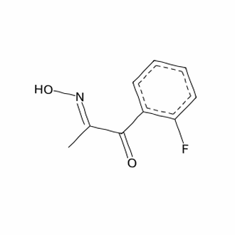 CC(=NO)C(=O)c1ccccc1F